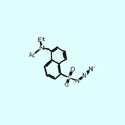 CCN(C(C)=O)c1cccc2c(S(=O)(=O)N=[N+]=[N-])cccc12